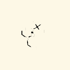 CC[N](CC)[Nb]=[N]C(C)(C)C